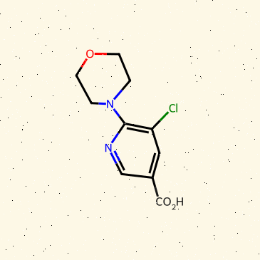 O=C(O)c1cnc(N2CCOCC2)c(Cl)c1